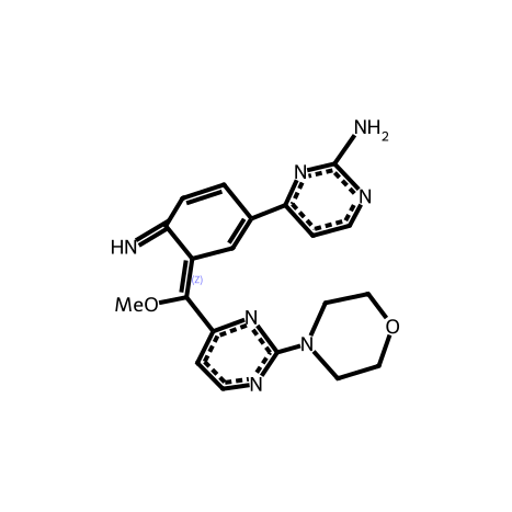 CO/C(=C1/C=C(c2ccnc(N)n2)C=CC1=N)c1ccnc(N2CCOCC2)n1